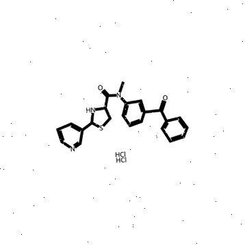 CN(C(=O)C1CSC(c2cccnc2)N1)c1cccc(C(=O)c2ccccc2)c1.Cl.Cl